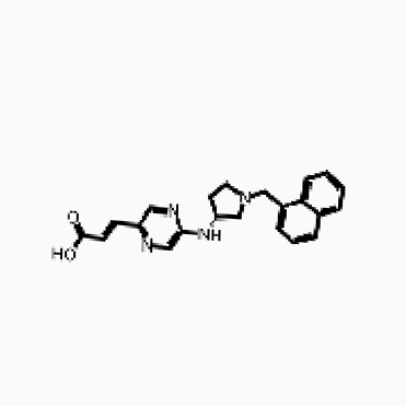 O=C(O)/C=C/c1cnc(N[C@@H]2CCN(Cc3cccc4ccccc34)C2)cn1